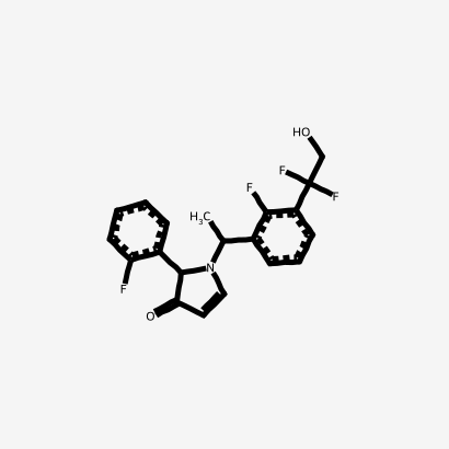 CC(c1cccc(C(F)(F)CO)c1F)N1C=CC(=O)C1c1ccccc1F